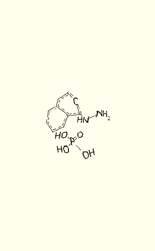 NNc1cccc2ccccc12.O=P(O)(O)O